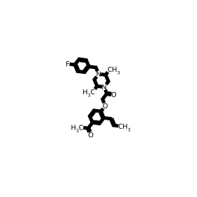 CC=Cc1cc(C(C)=O)ccc1OCC(=O)N1CC(C)N(Cc2ccc(F)cc2)CC1C